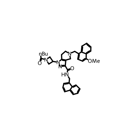 CCCCC(=O)N1CC(n2nc(C(=O)NCc3cccc4ccccc34)c3c2CCN(Cc2ccc(OC)c4ccccc24)C3)C1